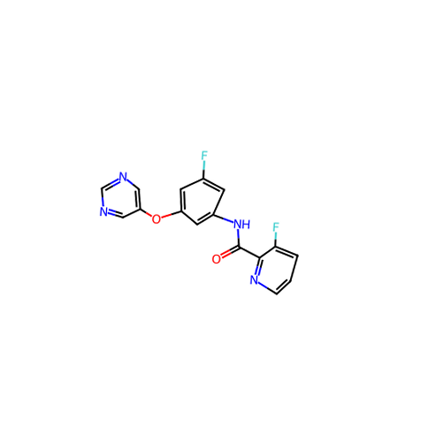 O=C(Nc1cc(F)cc(Oc2cncnc2)c1)c1ncccc1F